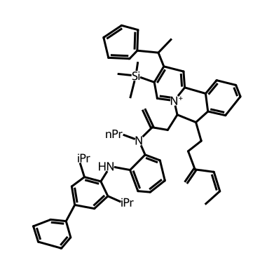 C=C(/C=C\C)CCC1c2ccccc2-c2cc(C(C)c3ccccc3)c([Si](C)(C)C)c[n+]2C1CC(=C)N(CCC)c1ccccc1Nc1c(C(C)C)cc(-c2ccccc2)cc1C(C)C